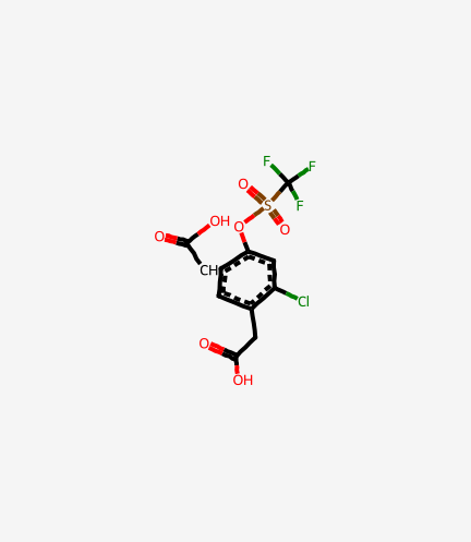 CC(=O)O.O=C(O)Cc1ccc(OS(=O)(=O)C(F)(F)F)cc1Cl